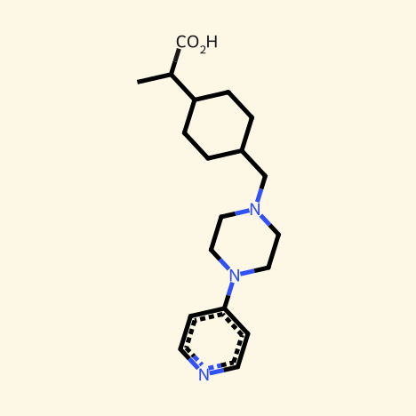 CC(C(=O)O)C1CCC(CN2CCN(c3ccncc3)CC2)CC1